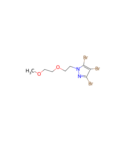 COCCOCCn1nc(Br)c(Br)c1Br